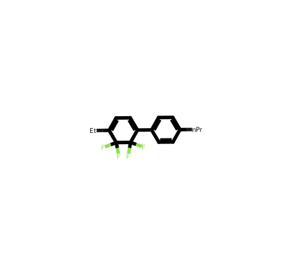 CCCc1ccc(C2=CC=C(CC)C(F)(F)C2(F)F)cc1